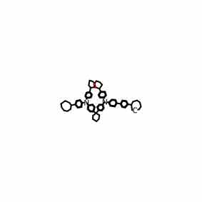 c1cc(C2CCCCCCC2)ccc1-c1ccc(N(c2ccc(C3CCCCC3)cc2)c2ccc(C3(c4ccc(N(c5ccc(C6CCCCCCC6)cc5)c5ccc(C6CCCCC6)cc5)cc4)CCCCC3)cc2)cc1